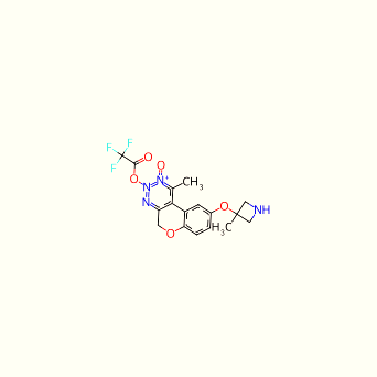 Cc1c2c(nn(OC(=O)C(F)(F)F)[n+]1=O)COc1ccc(OC3(C)CNC3)cc1-2